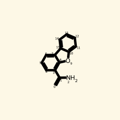 C=C(N)c1cccc2c1oc1ccccc12